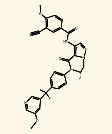 COc1cncc(C(F)(F)c2ccc(N3C(=O)c4c(NC(=O)c5ccc(OC)c(C#N)c5)cnn4C[C@@H]3C)cc2)c1